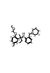 CCC(C)(Pc1ccccc1CN1CCCCC1)c1cc(C)ccc1OCOC